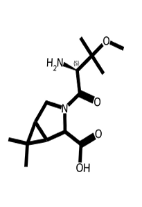 COC(C)(C)[C@H](N)C(=O)N1CC2C(C1C(=O)O)C2(C)C